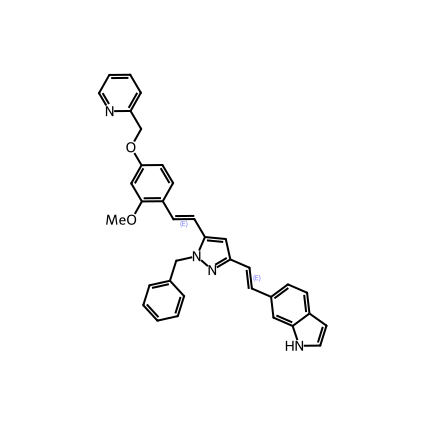 COc1cc(OCc2ccccn2)ccc1/C=C/c1cc(/C=C/c2ccc3cc[nH]c3c2)nn1Cc1ccccc1